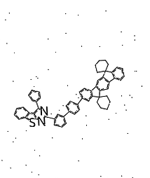 c1ccc(-c2nc(-c3cccc(-c4ccc(-c5ccc6c(c5)C5(CCCCC5)c5cc7c(cc5-6)C5(CCCCC5)c5ccccc5-7)cc4)c3)nc3sc4ccccc4c23)cc1